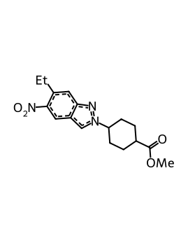 CCc1cc2nn(C3CCC(C(=O)OC)CC3)cc2cc1[N+](=O)[O-]